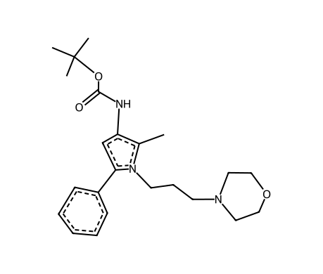 Cc1c(NC(=O)OC(C)(C)C)cc(-c2ccccc2)n1CCCN1CCOCC1